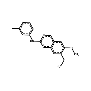 COc1cc2cnc(Nc3cccc(I)c3)nc2cc1OC